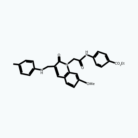 CCOC(=O)c1ccc(NC(=O)Cn2c(=O)c(CNc3ccc(C)cc3)cc3ccc(OC)cc32)cc1